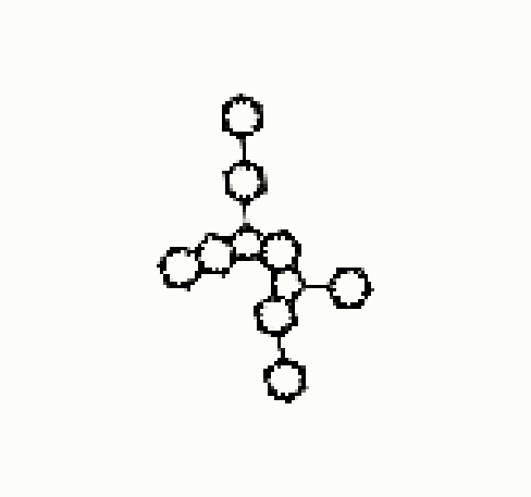 c1ccc(-c2ccc(-n3c4cc5ccccc5cc4c4c5c6ccc(-c7ccccc7)cc6n(-c6ccccc6)c5ccc43)cc2)cc1